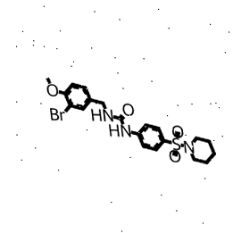 COc1ccc(CNC(=O)Nc2ccc(S(=O)(=O)N3CCCCC3)cc2)cc1Br